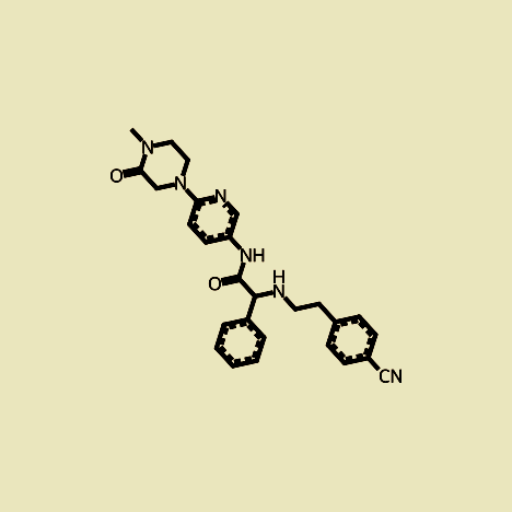 CN1CCN(c2ccc(NC(=O)C(NCCc3ccc(C#N)cc3)c3ccccc3)cn2)CC1=O